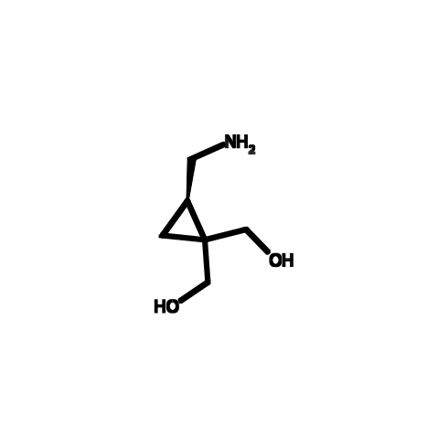 NC[C@@H]1CC1(CO)CO